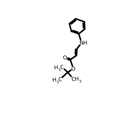 CC(C)(C)OC(=O)C=CNc1ccccc1